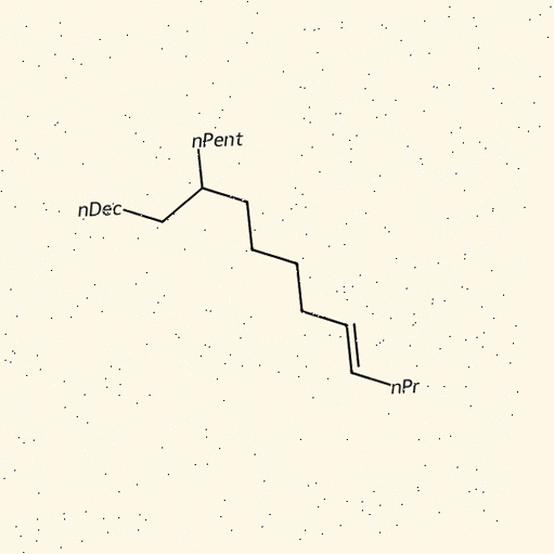 [CH2]CCC=CCCCCC(CCCCC)CCCCCCCCCC[CH2]